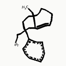 CC(C)CC1(c2ccccc2)CC2(C)CCC=C21